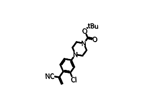 C=C(C#N)c1ccc(N2CCN(C(=O)OC(C)(C)C)CC2)cc1Cl